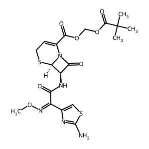 CO/N=C(\C(=O)N[C@@H]1C(=O)N2C(C(=O)OCOC(=O)C(C)(C)C)=CCS[C@H]12)c1csc(N)n1